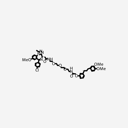 COc1ccc2c(c1)C(c1ccc(Cl)cc1)=N[C@@H](CC(=O)NCCOCCOCCOCCNC(=O)COc1cccc([CH]CCc3ccc(OC)c(OC)c3)c1)c1nnc(C)n1-2